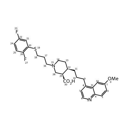 COc1ccc2nccc(CCC[C@@H]3CCN(CCCSc4cc(F)ccc4F)C[C@@H]3C(=O)O)c2c1